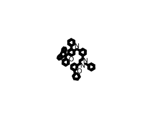 c1ccc(-c2nc(-c3cccc(-c4nc5ccccc5c5cc6c(cc45)Oc4ccccc4C64c5ccccc5-c5ccccc54)c3)cc(-c3cccc4c3oc3ccccc34)n2)cc1